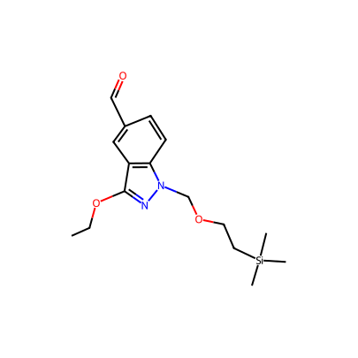 CCOc1nn(COCC[Si](C)(C)C)c2ccc(C=O)cc12